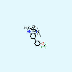 CN(C)[C@H]1C[C@@H](c2cccc(OC(F)(F)F)c2)CC[C@@H]1NC(C)(C)C